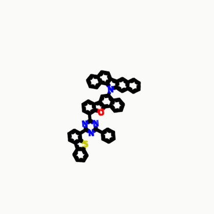 c1ccc(-c2nc(-c3cccc4c3oc3c5ccccc5c(-n5c6cc7ccccc7cc6c6ccc7ccccc7c65)cc43)nc(-c3cccc4c3sc3ccccc34)n2)cc1